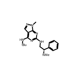 CN[C@@H](CNc1nc(NC(C)(C)C)c2cnn(C)c2n1)c1ccccc1